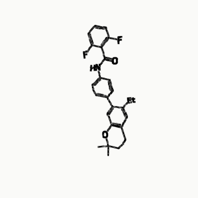 CCc1cc2c(cc1-c1ccc(NC(=O)c3c(F)cccc3F)cc1)OC(C)(C)CC2